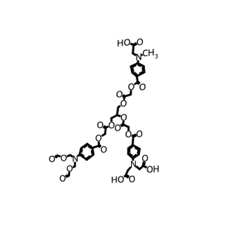 CN(CC(=O)O)c1ccc(C(=O)OCC(=O)OCC(COC(=O)COC(=O)c2ccc(N(COC=O)COC=O)cc2)OC(=O)COC(=O)c2ccc(N(CC(=O)O)CC(=O)O)cc2)cc1